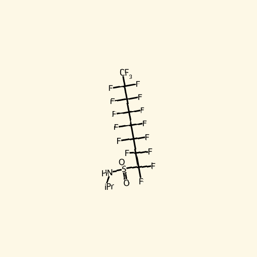 CC(C)NS(=O)(=O)C(F)(F)C(F)(F)C(F)(F)C(F)(F)C(F)(F)C(F)(F)C(F)(F)C(F)(F)F